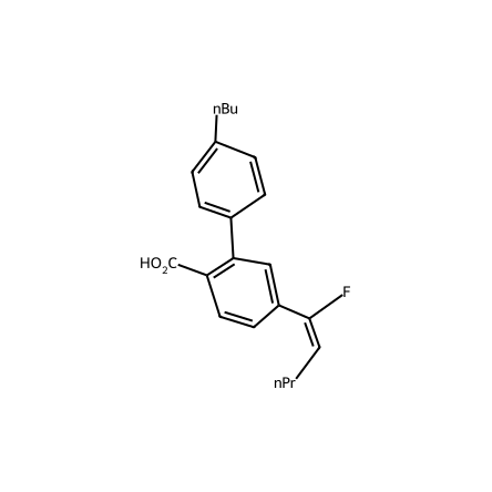 CCC/C=C(/F)c1ccc(C(=O)O)c(-c2ccc(CCCC)cc2)c1